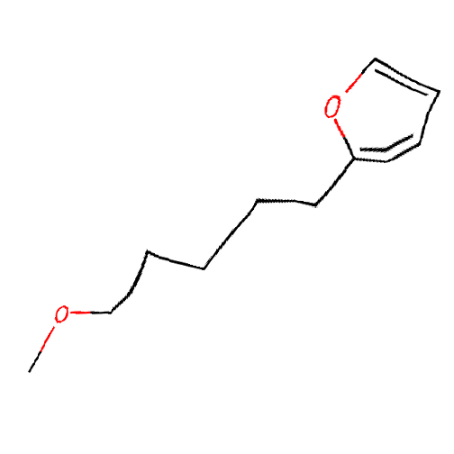 COCCCCCc1ccco1